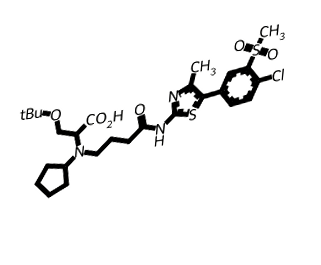 Cc1nc(NC(=O)CCCN(C2CCCC2)C(COC(C)(C)C)C(=O)O)sc1-c1ccc(Cl)c(S(C)(=O)=O)c1